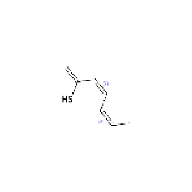 C=C(S)/C=C\C=C/C